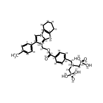 Cc1ccc(-c2cn3c4c(sc3[n+]2COC(=O)c2ccc(CN(CP(=O)(O)O)CP(=O)(O)O)cc2)CCCC4)cc1